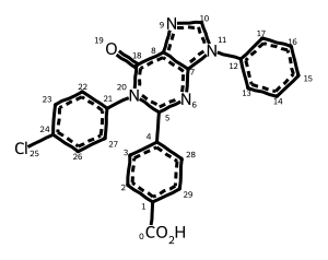 O=C(O)c1ccc(-c2nc3c(ncn3-c3ccccc3)c(=O)n2-c2ccc(Cl)cc2)cc1